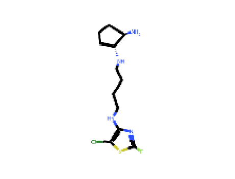 N[C@@H]1CCC[C@H]1NCCCCNc1nc(F)sc1Cl